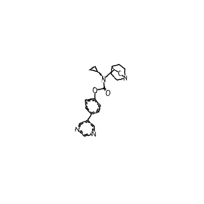 O=C(Oc1ccc(-c2cncnc2)cc1)N(C1CC1)C1CN2CCC1CC2